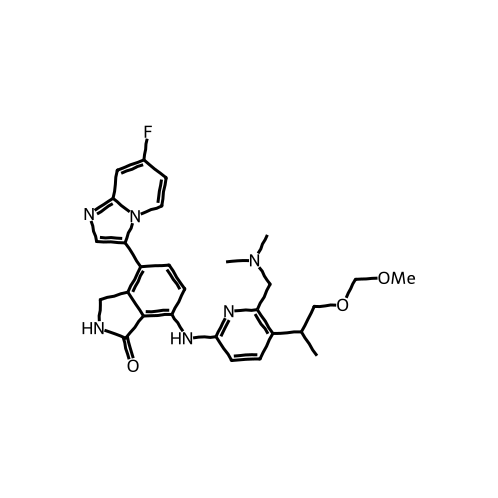 COCOCC(C)c1ccc(Nc2ccc(-c3cnc4cc(F)ccn34)c3c2C(=O)NC3)nc1CN(C)C